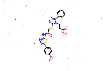 COc1ccc(-c2nnc(NC(=O)CSc3nnc(-c4ccccc4)n3CCC(=O)O)s2)cc1